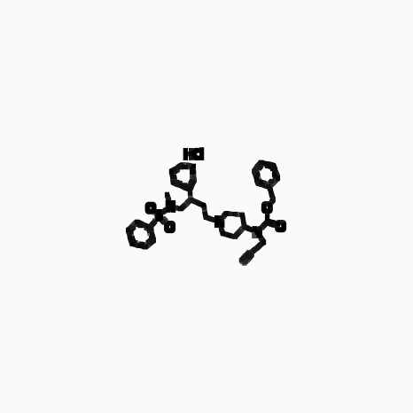 C#CCN(C(=O)OCc1ccccc1)C1CCN(CCC(CN(C)S(=O)(=O)c2ccccc2)c2ccccc2)CC1.Cl